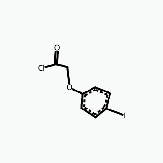 O=C(Cl)COc1ccc(I)cc1